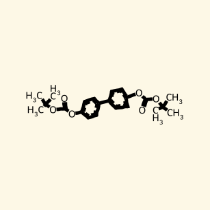 CC(C)(C)OC(=O)Oc1ccc(-c2ccc(OC(=O)OC(C)(C)C)cc2)cc1